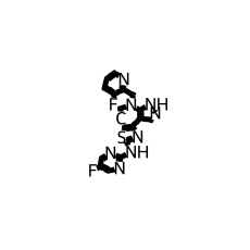 Fc1cnc(Nc2nc3c(s2)CCN(Cc2ncccc2F)c2[nH]ncc2-3)nc1